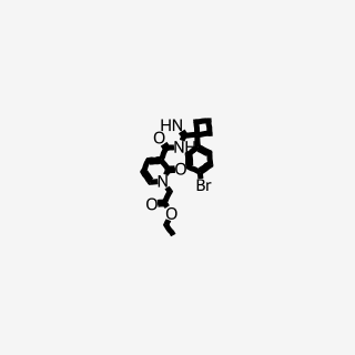 CCOC(=O)Cn1cccc(C(=O)NC(=N)C2(c3ccc(Br)cc3)CCC2)c1=O